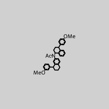 COc1ccc(C2CCC(N(C(C)=O)c3ccc4c(c3)C(c3cccc(OC)c3)CCC4)c3ccccc32)cc1